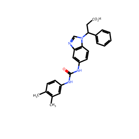 Cc1ccc(NC(=O)Nc2ccc3c(c2)ncn3C(CC(=O)O)c2ccccc2)cc1C